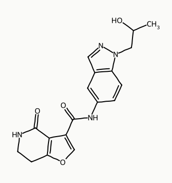 CC(O)Cn1ncc2cc(NC(=O)c3coc4c3C(=O)NCC4)ccc21